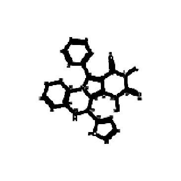 Cn1c(=O)c2c(-c3ccccc3)n3c(c2n(C)c1=O)C(c1ccco1)NC1=C3CCC=C1